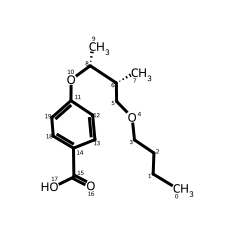 CCCCOC[C@@H](C)[C@@H](C)Oc1ccc(C(=O)O)cc1